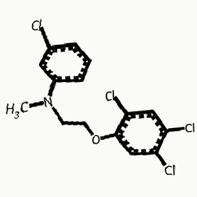 CN(CCOc1cc(Cl)c(Cl)cc1Cl)c1cccc(Cl)c1